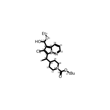 CCOC(O)c1c(Cl)c(C(C)C2CCN(C(=O)OC(C)(C)C)CC2)n2ncccc12